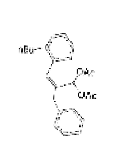 CCCCc1ccccc1C=C(Cc1ccccc1)C(OC(C)=O)OC(C)=O